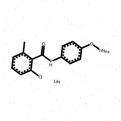 CCCCCCOc1ccc(PC(=O)c2c(C)cccc2Cl)cc1.[LiH]